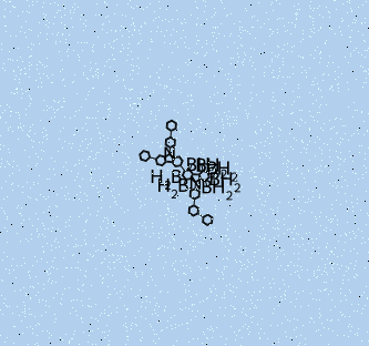 Bc1c(B)c(B)c2c(c1B)c1c(B)c(-c3ccc4c(c3)c3ccc(-c5ccccc5)cc3n4-c3ccc(-c4ccccc4)cc3)c(B)c(B)c1n2-c1ccc(-c2cccc(-c3ccccc3)c2)cc1